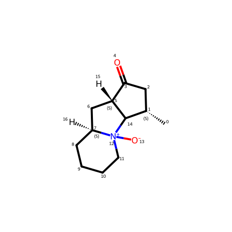 C[C@H]1CC(=O)[C@H]2C[C@@H]3CCCC[N+]3([O-])C21